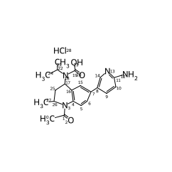 CC(=O)N1c2ccc(-c3ccc(N)nc3)cc2C(N(C(=O)O)C(C)C)CC1C.Cl